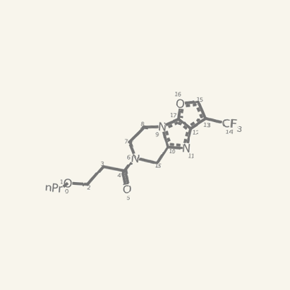 CCCOCCC(=O)N1CCn2c(nc3c(C(F)(F)F)coc32)C1